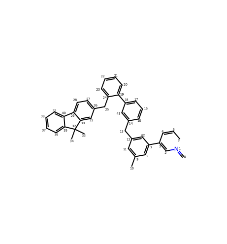 C=N/C=C(\C=C/C)c1cc(C)cc(Cc2cccc(-c3ccccc3Cc3ccc4c(c3)C(C)(C)c3ccccc3-4)c2)c1